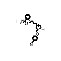 CCN(CCCSc1ccccc1C(N)=O)CC(O)COc1ccc(C#N)cc1